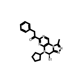 CC[C@@H]1c2nnc(C)n2-c2cnc(C(=O)Cc3ccccc3)nc2N1C1CCCC1